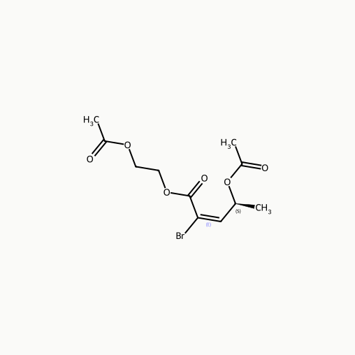 CC(=O)OCCOC(=O)/C(Br)=C\[C@H](C)OC(C)=O